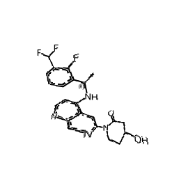 C[C@@H](Nc1ccnc2cnc(N3CCC(O)CC3=O)cc12)c1cccc(C(F)F)c1F